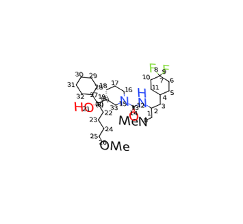 CNCC(CC1CCC(F)(F)CC1)NC(=O)N1CCC[C@@H]([C@@](O)(CCCCOC)C2CCCCC2)C1